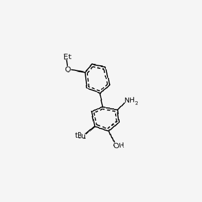 CCOc1cccc(-c2cc(C(C)(C)C)c(O)cc2N)c1